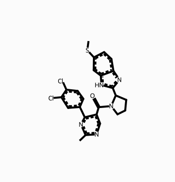 CSc1ccc2nc(C3CCCN3C(=O)c3cnc(C)nc3-c3ccc(Cl)c(Cl)c3)[nH]c2c1